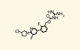 N=C(N)NC(=O)OCc1cccc(-c2cnc(N3CCC(Cl)C3)c(F)c2)c1F